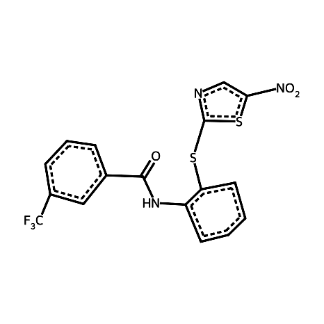 O=C(Nc1ccccc1Sc1ncc([N+](=O)[O-])s1)c1cccc(C(F)(F)F)c1